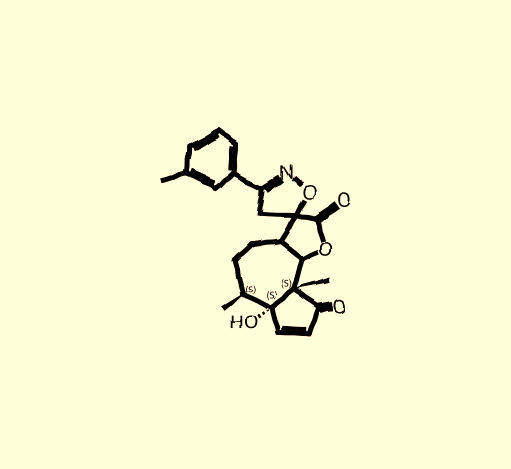 Cc1cccc(C2=NOC3(C2)C(=O)OC2C3CC[C@H](C)[C@]3(O)C=CC(=O)[C@@]23C)c1